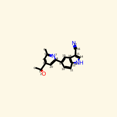 CC(=O)c1cc(C)nc(-c2ccc3[nH]cc(C#N)c3c2)c1